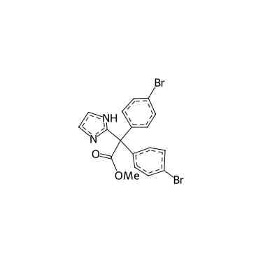 COC(=O)C(c1ccc(Br)cc1)(c1ccc(Br)cc1)c1ncc[nH]1